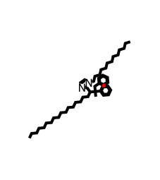 CCCCCCCCCCCCCCCCCC(c1nccn1CCCCCCCCCCCCC)C(C)(Cc1ccccc1)c1ccccc1